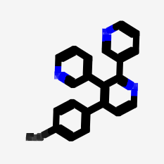 COc1ccc(-c2ccnc(-c3cccnc3)c2-c2cccnc2)cc1